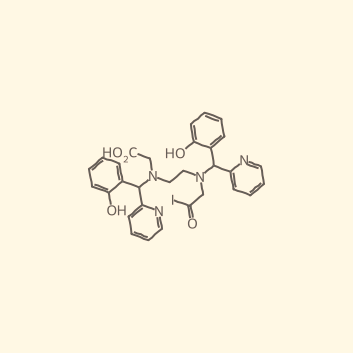 O=C(O)CN(CCN(CC(=O)I)C(c1ccccn1)c1ccccc1O)C(c1ccccn1)c1ccccc1O